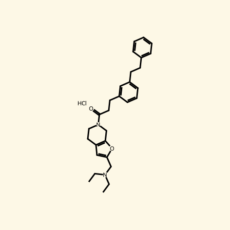 CCN(CC)Cc1cc2c(o1)CN(C(=O)CCc1cccc(CCc3ccccc3)c1)CC2.Cl